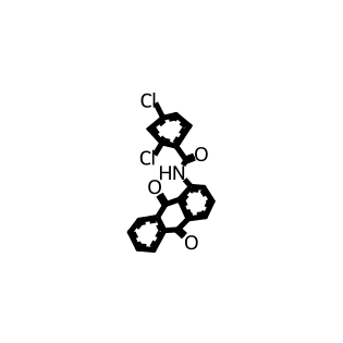 O=C(Nc1cccc2c1C(=O)c1ccccc1C2=O)c1ccc(Cl)cc1Cl